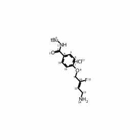 CC(C)(C)NC(=O)c1ccc(OC/C(F)=C/CN)cc1.Cl